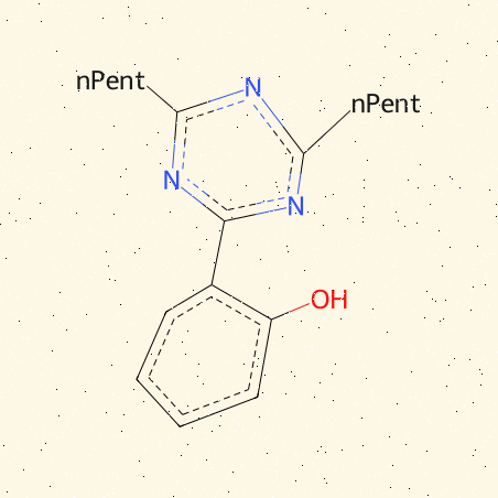 CCCCCc1nc(CCCCC)nc(-c2ccccc2O)n1